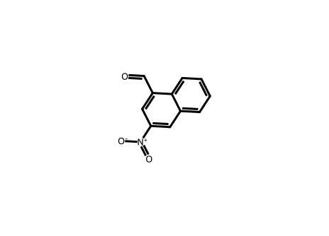 O=Cc1cc([N+](=O)[O-])cc2ccccc12